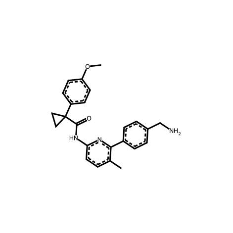 COc1ccc(C2(C(=O)Nc3ccc(C)c(-c4ccc(CN)cc4)n3)CC2)cc1